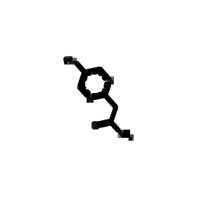 CC(C)(C)c1cnc(CC(N)=O)nc1